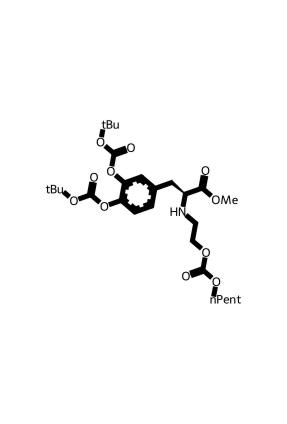 CCCCCOC(=O)OCCN[C@@H](Cc1ccc(OC(=O)OC(C)(C)C)c(OC(=O)OC(C)(C)C)c1)C(=O)OC